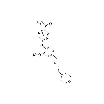 C=C(/C=N\C(=C/N)Oc1ccc(CNCCC2CCOCC2)cc1OC)C(N)=O